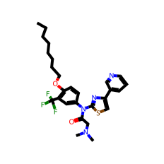 CCCCCCCCOc1ccc(N(C(=O)CN(C)C)c2nc(-c3cccnc3)cs2)cc1C(F)(F)F